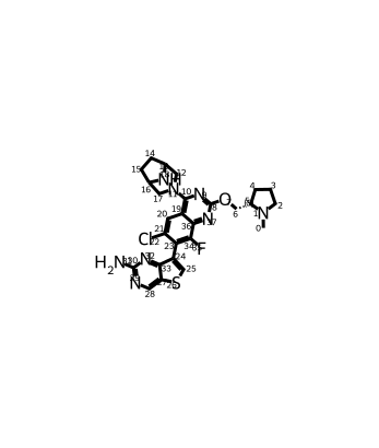 CN1CCC[C@H]1COc1nc(N2CC3CCC(C2)N3)c2cc(Cl)c(-c3csc4cnc(N)nc34)c(F)c2n1